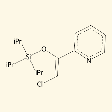 CC(C)[Si](O/C(=C\Cl)c1ccccn1)(C(C)C)C(C)C